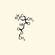 CCOC(=O)CNC(=O)C(C)(CC)CC